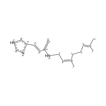 CC(C)=CCCC(C)=CCNC(=O)C=Cc1c[nH]cn1